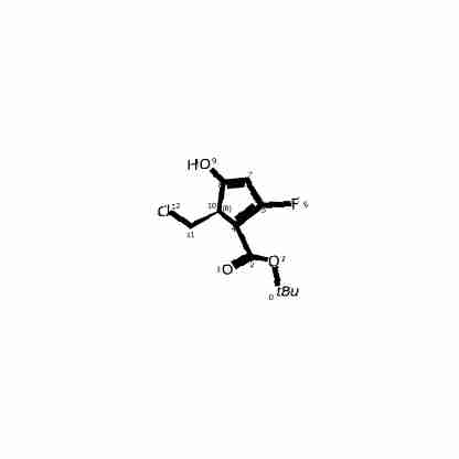 CC(C)(C)OC(=O)C1=C(F)C=C(O)[C@@H]1CCl